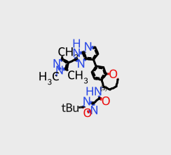 Cc1nn(C)c(C)c1-c1nc2c(-c3ccc4c(c3)OCCC[C@@H]4NC(=O)c3noc(C(C)(C)C)n3)ccnc2[nH]1